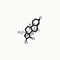 CCC1C[C@@]2(C)CC[C@@H]3[C@@H](CCC4=CC(=O)CC[C@@]43C)[C@@H]2C1CC